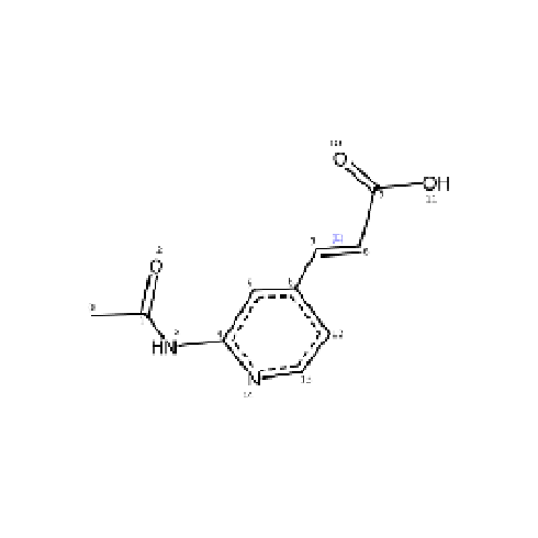 CC(=O)Nc1cc(/C=C/C(=O)O)ccn1